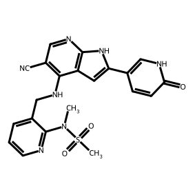 CN(c1ncccc1CNc1c(C#N)cnc2[nH]c(-c3ccc(=O)[nH]c3)cc12)S(C)(=O)=O